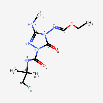 CCOC=Nn1c(NC)nn(C(=O)NC(C)(C)CCl)c1=O